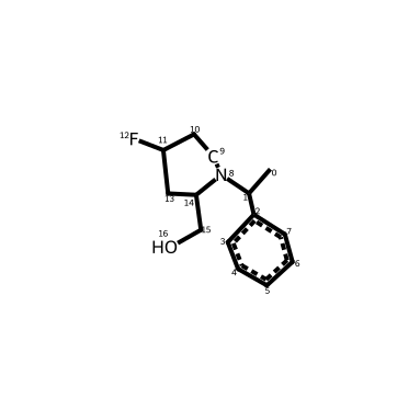 CC(c1ccccc1)N1CCC(F)CC1CO